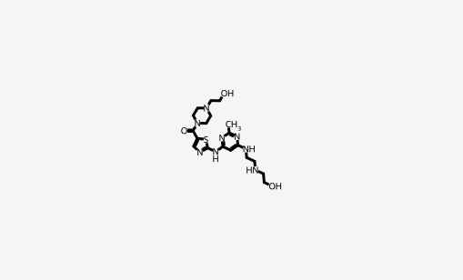 Cc1nc(NCCNCCO)cc(Nc2ncc(C(=O)N3CCN(CCO)CC3)s2)n1